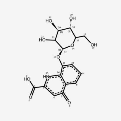 O=C(O)c1cc(=O)c2cccc(O[C@@H]3OC(CO)[C@@H](O)[C@H](O)C3O)c2[nH]1